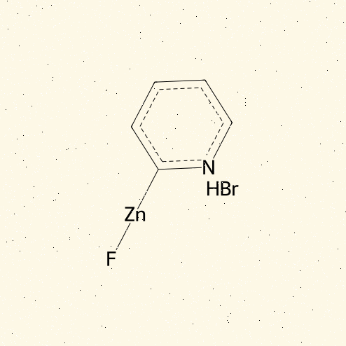 Br.[F][Zn][c]1ccccn1